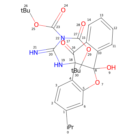 CC(C)c1ccc2c(c1)OC1(O)c3ccccc3C(=O)C21NC(=N)N(C(=O)OC(C)(C)C)C(=O)OC(C)(C)C